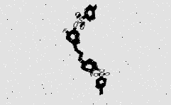 Cc1ccc(S(=O)(=O)Oc2ccc(CCCc3ccc(OS(=O)(=O)c4ccc(C)cc4)c(F)c3)cc2F)cc1